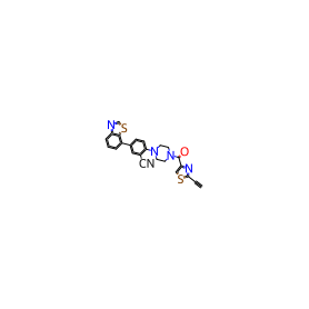 C#Cc1nc(C(=O)N2CCN(c3ccc(-c4cccc5ncsc45)cc3C#N)CC2)cs1